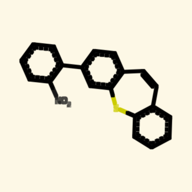 O=[N+]([O-])c1ccccc1-c1ccc2c(c1)Sc1ccccc1C=C2